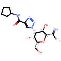 CC(=N)[C@@H]1O[C@H](CO)[C@H](O)[C@H](n2cc(C(=O)NC3CCCC3)nn2)[C@H]1O